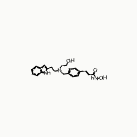 O=C(C=Cc1ccc(CN(CCO)CCc2cc3ccccc3[nH]2)cc1)NO